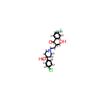 O=C(C(=CO)CCN1CCC(O)(c2ccc(Cl)cc2)CC1)c1ccc(F)cc1